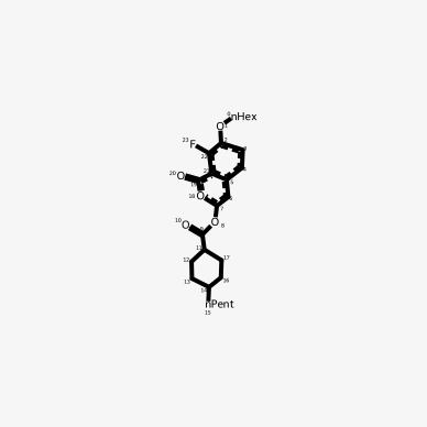 CCCCCCOc1ccc2cc(OC(=O)C3CCC(CCCCC)CC3)oc(=O)c2c1F